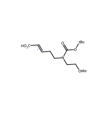 COCCN(CC/C=C/C(=O)O)C(=O)OC(C)(C)C